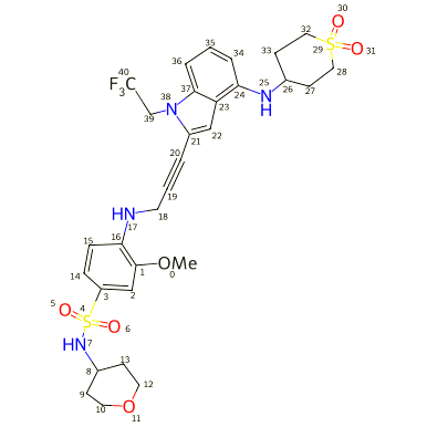 COc1cc(S(=O)(=O)NC2CCOCC2)ccc1NCC#Cc1cc2c(NC3CCS(=O)(=O)CC3)cccc2n1CC(F)(F)F